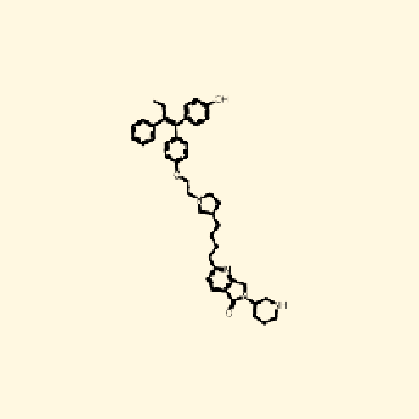 CCC(=C(c1ccc(O)cc1)c1ccc(OCCN2CCC(CCCCc3ccc4c(n3)CN(C3CCCNC3)C4=O)C2)cc1)c1ccccc1